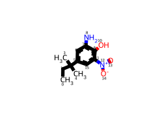 CCC(C)(C)c1cc(N)c(O)c([N+](=O)[O-])c1